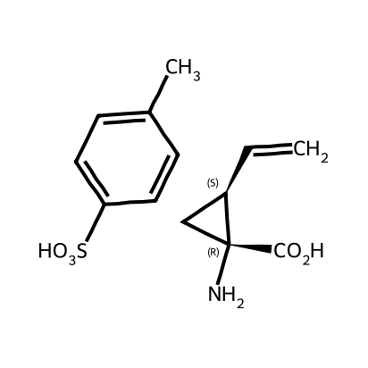 C=C[C@@H]1C[C@]1(N)C(=O)O.Cc1ccc(S(=O)(=O)O)cc1